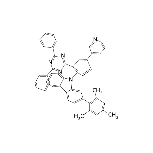 Cc1cc(C)c(-c2ccc3c4ccccc4n(-c4ccc(-c5cccnc5)cc4-c4nc(-c5ccccc5)nc(-c5ccccc5)n4)c3c2)c(C)c1